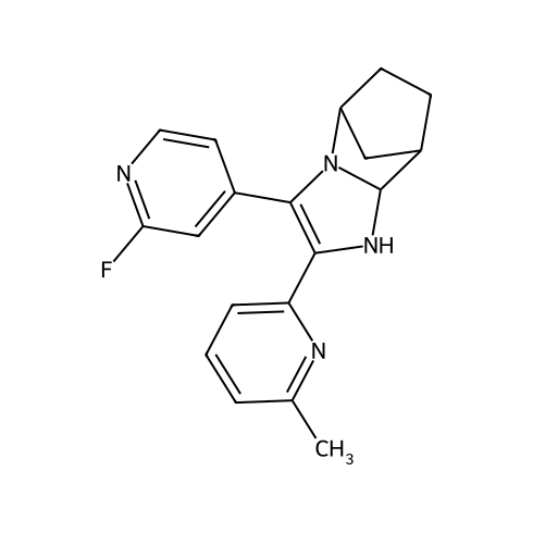 Cc1cccc(C2=C(c3ccnc(F)c3)N3C4CCC(C4)C3N2)n1